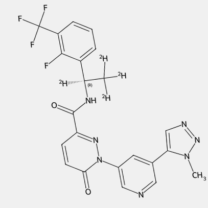 [2H]C([2H])([2H])[C@@]([2H])(NC(=O)c1ccc(=O)n(-c2cncc(-c3cnnn3C)c2)n1)c1cccc(C(F)(F)F)c1F